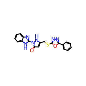 O=c1cc(CSc2nnc(-c3ccccc3)o2)[nH]n1-c1nc2ccccc2[nH]1